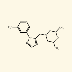 CC1CN(Cc2nnnn2-c2cccc(C(F)(F)F)c2)CC(C)O1